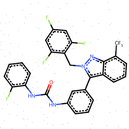 O=C(Nc1cccc(-c2c3cccc(C(F)(F)F)c3nn2Cc2c(F)cc(F)cc2F)c1)Nc1ccccc1F